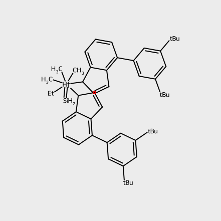 C[CH2][Hf]([CH3])([CH3])([CH3])(=[SiH2])([CH]1C=Cc2c(-c3cc(C(C)(C)C)cc(C(C)(C)C)c3)cccc21)[CH]1C=Cc2c(-c3cc(C(C)(C)C)cc(C(C)(C)C)c3)cccc21